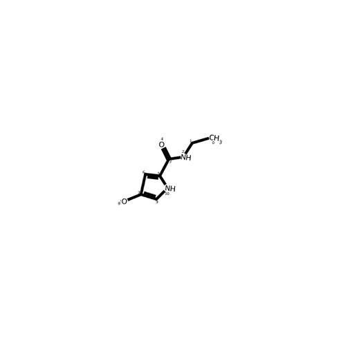 CCNC(=O)c1cc([O])c[nH]1